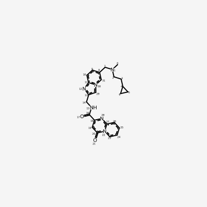 CN(CCC1CC1)Cc1ccc2nc(CNC(=O)c3cc(=O)n4ccccc4n3)cn2c1